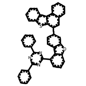 c1ccc(-c2nc(-c3ccccc3)nc(-c3cccc4oc5cc(-c6cc7ccccc7c7c6sc6ccccc67)ccc5c34)n2)cc1